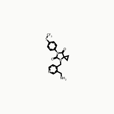 NCc1cnccc1CN1C(=O)N(c2ccc(SC(F)(F)F)cc2)C(=O)C12CC2